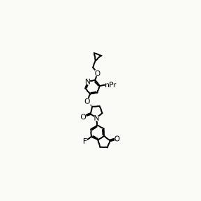 CCCc1cc(O[C@@H]2CCN(c3cc(F)c4c(c3)C(=O)CC4)C2=O)cnc1OCC1CC1